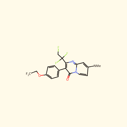 CNc1ccn2c(=O)c(-c3ccc(OCC(F)(F)F)cc3)c(C(F)(F)CF)nc2c1